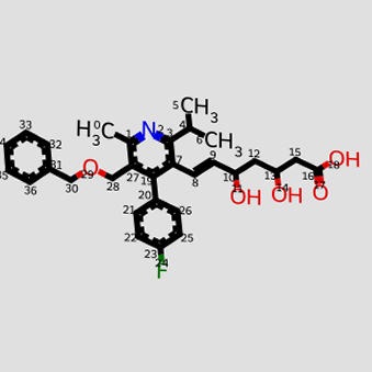 Cc1nc(C(C)C)c(/C=C/C(O)CC(O)CC(=O)O)c(-c2ccc(F)cc2)c1COCc1ccccc1